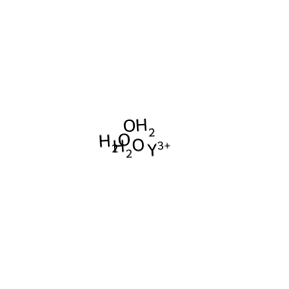 O.O.O.[Y+3]